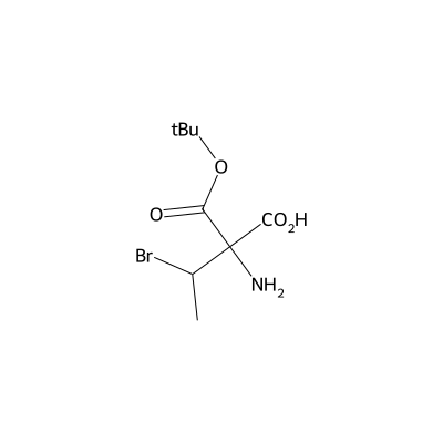 CC(Br)C(N)(C(=O)O)C(=O)OC(C)(C)C